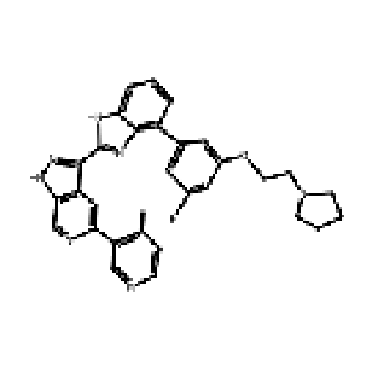 Cc1ccncc1-c1cc2c(-c3nc4c(-c5cc(F)cc(OCCN6CCCC6)c5)cccc4[nH]3)n[nH]c2cn1